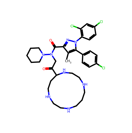 Cc1c(C(=O)N(CC(=O)C2CCNCCNCCCNCCN2)N2CCCCC2)nn(-c2ccc(Cl)cc2Cl)c1-c1ccc(Cl)cc1